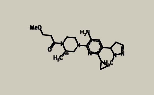 COCCC(=O)N1CCN(c2nc(C3CC3)c(C3CC=NN3C)cc2N)C[C@H]1C